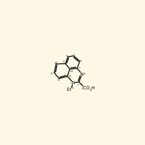 CCN1C(C(=O)O)=Nc2cccc3cccc1c23